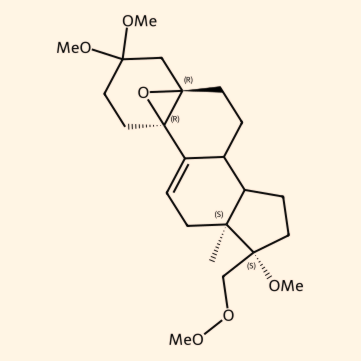 COOC[C@]1(OC)CCC2C3CC[C@@]45CC(OC)(OC)CC[C@@]4(O5)C3=CC[C@@]21C